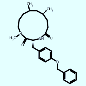 CC1CCCN(C)C(=O)[C@H](Cc2ccc(OCc3ccccc3)cc2)NC(=O)CC[C@H](C)C1